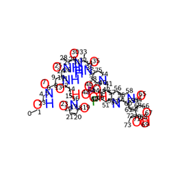 CCOCCNC(=O)CC[C@H](NC(=O)CCCN1C(=O)C=CC1=O)C(=O)N[C@@H](C)C(=O)N[C@@H](C)C(=O)NC1CCN(Cc2c(OP(=O)(O)O)c(F)cc3nc4c(cc23)Cn2c-4cc3c(c2=O)COC(=O)[C@]3(O)CC)CC1